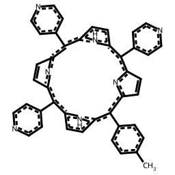 Cc1ccc(-c2c3nc(c(-c4ccncc4)c4ccc([nH]4)c(-c4ccncc4)c4nc(c(-c5ccncc5)c5ccc2[nH]5)C=C4)C=C3)cc1